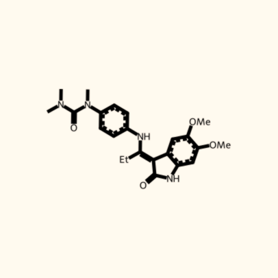 CCC(Nc1ccc(N(C)C(=O)N(C)C)cc1)=C1C(=O)Nc2cc(OC)c(OC)cc21